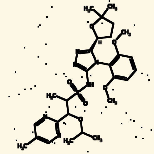 COc1cccc(OC)c1-n1c(NS(=O)(=O)C(C)C(OC(C)C)c2ncc(C)cn2)nnc1[C@@H]1CCC(C)(C)O1